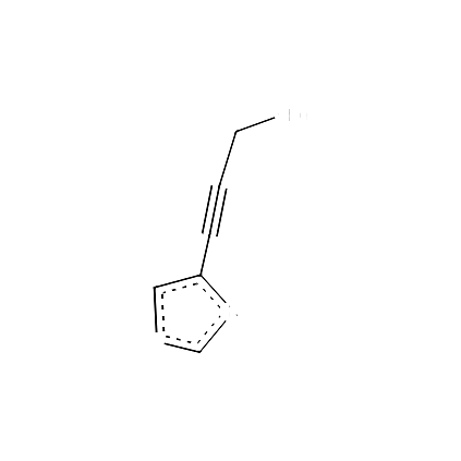 CCCCCC#Cc1cscn1